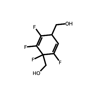 OCC1C=C(F)C(F)(CO)C(F)=C1F